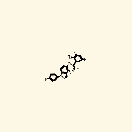 COC1=C(F)C=C(F)CC1[C@@H](Oc1ccc2c(cnn2-c2ccc(F)cc2)c1)[C@H](C)N